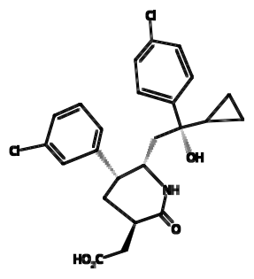 O=C(O)C[C@H]1C[C@H](c2cccc(Cl)c2)[C@H](C[C@@](O)(c2ccc(Cl)cc2)C2CC2)NC1=O